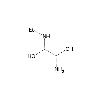 CCNC(O)C(N)O